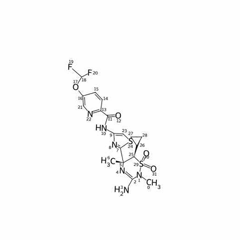 CN1C(N)=N[C@](C)(c2nc(NC(=O)c3ccc(OC(F)F)cn3)cs2)[C@@H](C2CC2)S1(=O)=O